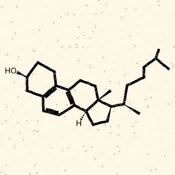 CC(C)CCC[C@@H](C)[C@H]1CC[C@H]2c3ccc4c(c3CC[C@]12C)CC[C@H](O)C4